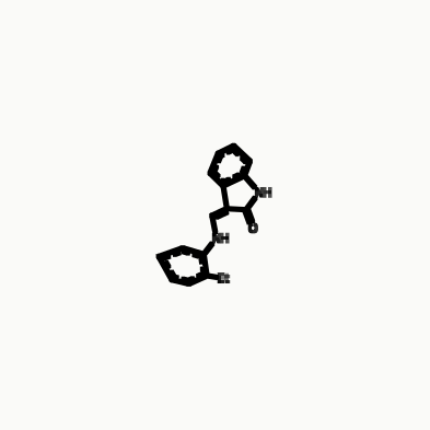 CCc1ccccc1N/C=C1\C(=O)Nc2ccccc21